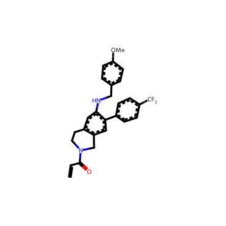 C=CC(=O)N1CCc2cc(NCc3ccc(OC)cc3)c(-c3ccc(C(F)(F)F)cc3)cc2C1